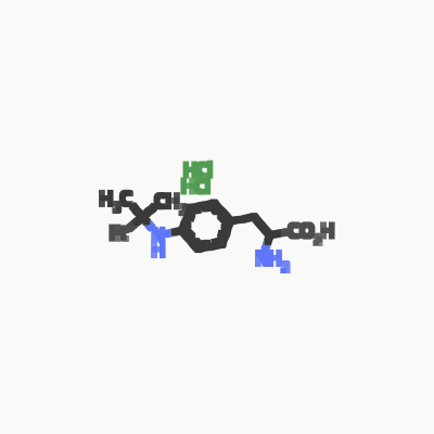 CCC(C)(C)Nc1ccc(CC(N)C(=O)O)cc1.Cl.Cl